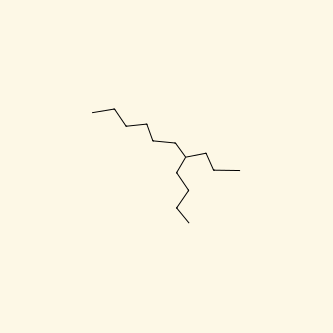 CCCCCCC(CCC)CCCC